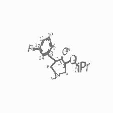 CC(C)OC1CN(C)CC(c2cccc(F)c2)C1=O